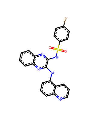 O=S(=O)(Nc1nc2ccccc2nc1Nc1cccc2ncccc12)c1ccc(Br)cc1